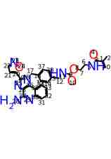 C=C(C)C(=O)NCCOC(=O)NCc1ccc(Cn2c(-c3ccno3)nc3c(N)nc4ccccc4c32)cc1